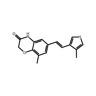 Cc1cscc1/C=C/c1cc(C)c2c(c1)NC(=O)CO2